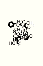 COC1O[C@@H]2[C@](CO)(CF)O[C@@H](n3ccc(=O)n(COC(=O)C(NC(=O)OCc4ccccc4)C(C)C)c3=O)[C@]2(C)O1